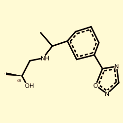 [CH2][C@H](O)CNC(C)c1cccc(-c2ncno2)c1